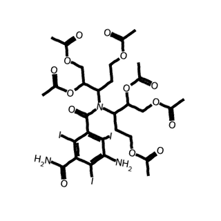 CC(=O)OCCC(C(COC(C)=O)OC(C)=O)N(C(=O)c1c(I)c(N)c(I)c(C(N)=O)c1I)C(CCOC(C)=O)C(COC(C)=O)OC(C)=O